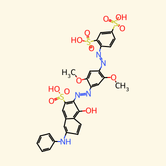 COc1cc(N=Nc2c(S(=O)(=O)O)cc3cc(Nc4ccccc4)ccc3c2O)c(OC)cc1N=Nc1ccc(S(=O)(=O)O)cc1S(=O)(=O)O